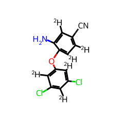 [2H]c1c(Cl)c([2H])c(Oc2c([2H])c([2H])c(C#N)c([2H])c2N)c([2H])c1Cl